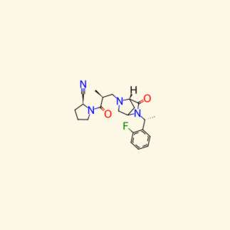 C[C@H](c1ccccc1F)N1C(=O)[C@@H]2CC1CN2C[C@H](C)C(=O)N1CCC[C@H]1C#N